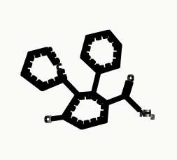 NC(=O)c1ccc(Cl)c(-c2ccccc2)c1-c1ccccc1